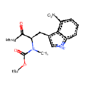 CNC(=O)[C@@H](Cc1c[nH]c2cccc([N+](=O)[O-])c12)N(C)C(=O)OC(C)(C)C